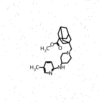 COC(=O)C12CC3CC(CC(CN4CCC(Nc5ccc(C)cn5)CC4)(C3)C1)C2